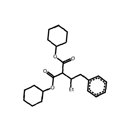 CCC(Cc1ccccc1)C(C(=O)OC1CCCCC1)C(=O)OC1CCCCC1